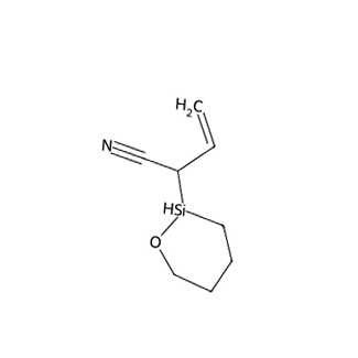 C=CC(C#N)[SiH]1CCCCO1